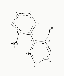 Oc1ccccc1-c1ncccc1F